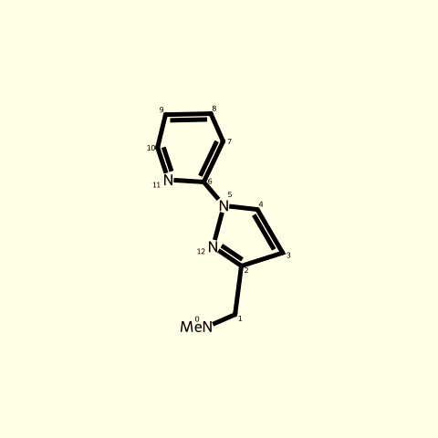 CNCc1ccn(-c2ccccn2)n1